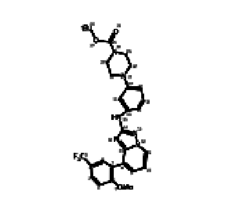 COc1ccc(C(F)(F)F)cc1-c1cccn2nc(Nc3cccc(N4CCN(C(=O)OC(C)(C)C)CC4)c3)nc12